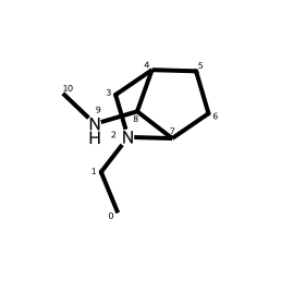 CCN1CC2CCC1C2NC